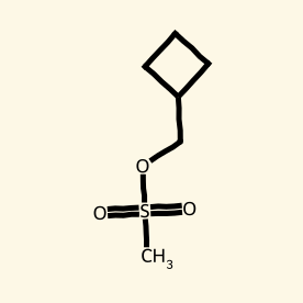 CS(=O)(=O)OCC1CCC1